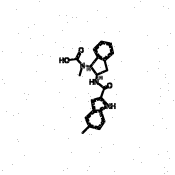 Cc1ccc2[nH]c(C(=O)N[C@@H]3Cc4ccccc4[C@H]3N(C)C(=O)O)cc2c1